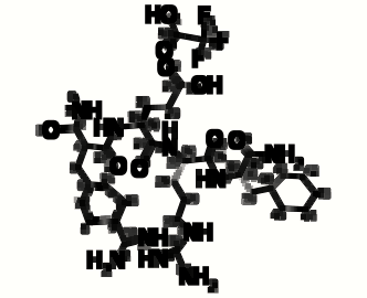 CNC(=O)C(Cc1ccc(C(=N)N)cc1)C(=O)N[C@@H](CCC(=O)O)C(=O)N[C@@H](CCCNC(=N)N)C(=O)N[C@@H](CC1CCCCC1)C(N)=O.O=C(O)C(F)(F)F